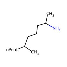 CCCCCC(C)CCCC(C)N